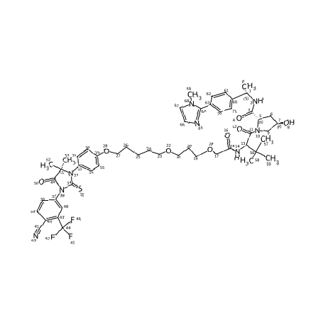 C[C@H](NC(=O)[C@@H]1C[C@@H](O)CN1C(=O)C(NC(=O)COCCCOCCCCCOc1ccc(N2C(=S)N(c3ccc(C#N)c(C(F)(F)F)c3)C(=O)C2(C)C)cc1)C(C)(C)C)c1ccc(-c2nccn2C)cc1